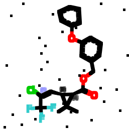 CC1(C)[C@H](C(=O)OCc2cccc(Oc3ccccc3)c2)[C@@H]1/C=C(/Cl)C(F)(F)F